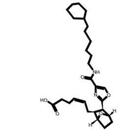 O=C(O)CC/C=C\C[C@H]1[C@@H](c2nc(C(=O)NCCCCCCC3CCCCC3)co2)[C@@H]2CC[C@H]1O2